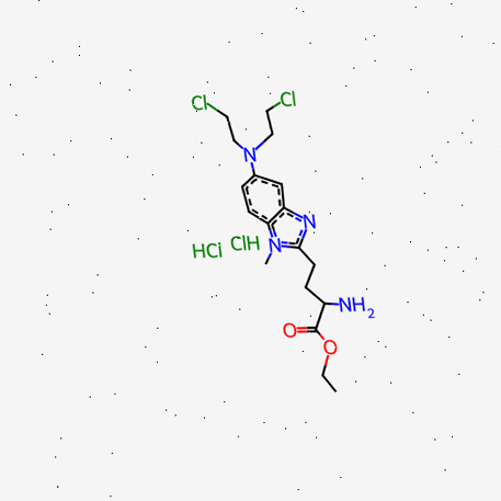 CCOC(=O)C(N)CCc1nc2cc(N(CCCl)CCCl)ccc2n1C.Cl.Cl